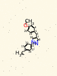 COc1ccc(Cc2cnn(-c3ccc(C)cc3)c2)cc1